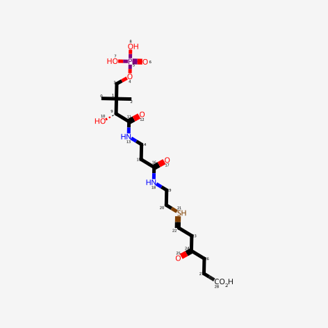 CC(C)(COP(=O)(O)O)[C@@H](O)C(=O)NCCC(=O)NCC[SH]=CCC(=O)CCC(=O)O